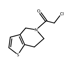 O=C(CCl)N1CCc2sccc2C1